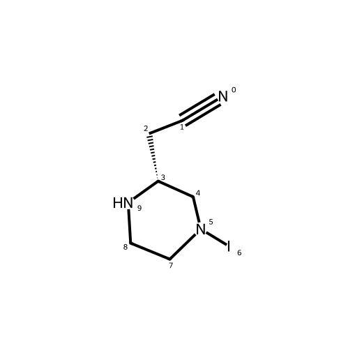 N#CC[C@@H]1CN(I)CCN1